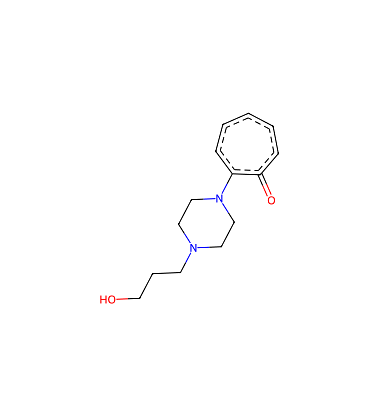 O=c1cccccc1N1CCN(CCCO)CC1